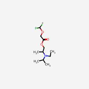 CCN(C(C)C)C(C)COC(=O)COC(F)F